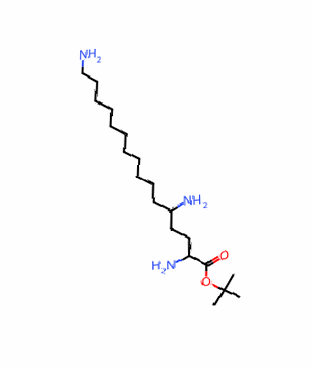 CC(C)(C)OC(=O)C(N)CCC(N)CCCCCCCCCCCN